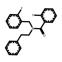 O=C(c1ccccc1F)N(CCc1ccccc1)Cc1ccccc1F